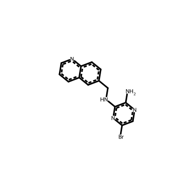 Nc1ncc(Br)nc1NCc1ccc2ncccc2c1